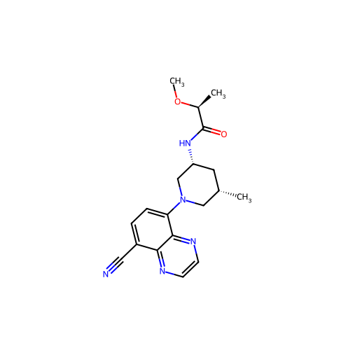 CO[C@@H](C)C(=O)N[C@@H]1C[C@H](C)CN(c2ccc(C#N)c3nccnc23)C1